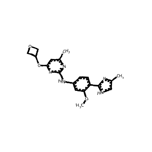 COc1cc(Nc2nc(C)cc(OC3COC3)n2)ccc1-c1nc(C)c[nH]1